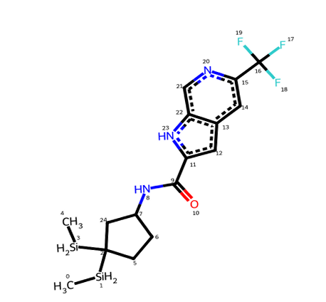 C[SiH2]C1([SiH2]C)CCC(NC(=O)c2cc3cc(C(F)(F)F)ncc3[nH]2)C1